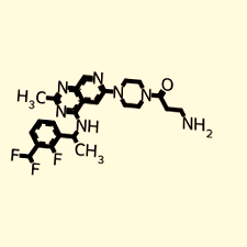 Cc1nc(NC(C)c2cccc(C(F)F)c2F)c2cc(N3CCN(C(=O)CCN)CC3)ncc2n1